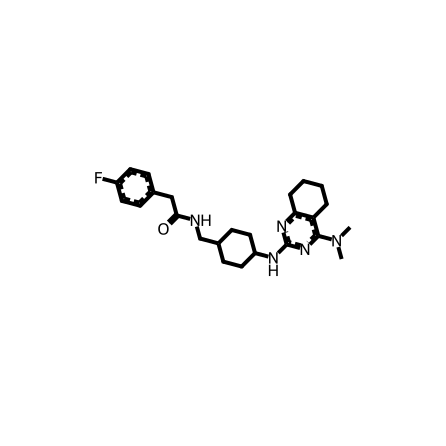 CN(C)c1nc(NC2CCC(CNC(=O)Cc3ccc(F)cc3)CC2)nc2c1CCCC2